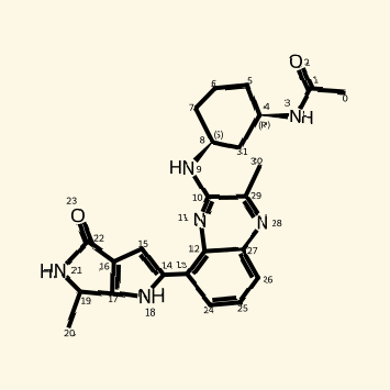 CC(=O)N[C@@H]1CCC[C@H](Nc2nc3c(-c4cc5c([nH]4)C(C)NC5=O)cccc3nc2C)C1